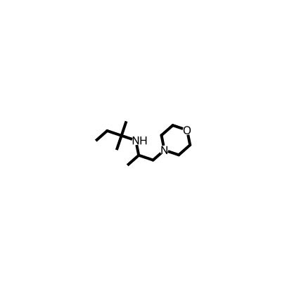 CCC(C)(C)NC(C)CN1CCOCC1